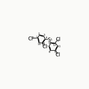 Clc1ccc(Sc2ccc(Cl)cc2Cl)c(Cl)c1